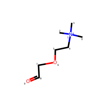 C[N+](C)(C)CCOC[C]=O